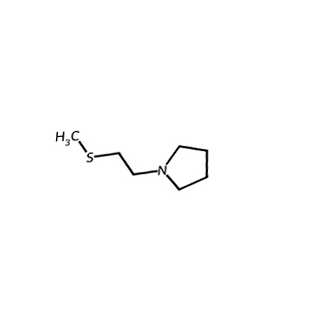 CSCCN1CCCC1